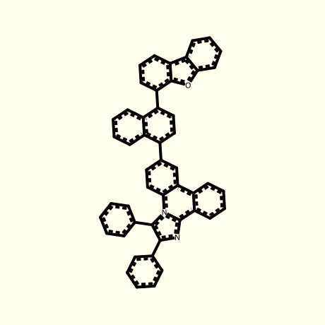 c1ccc(-c2nc3c4ccccc4c4cc(-c5ccc(-c6cccc7c6oc6ccccc67)c6ccccc56)ccc4n3c2-c2ccccc2)cc1